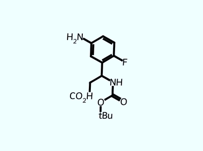 CC(C)(C)OC(=O)NC(CC(=O)O)c1cc(N)ccc1F